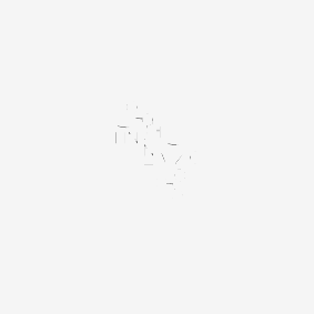 CCOC(=O)Oc1cc(NC(=O)NC(C(=O)OC)=C(C)C)c(F)cc1Cl